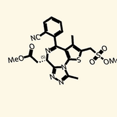 COC(=O)C[C@@H]1N=C(c2ccccc2C#N)c2c(sc(CS(=O)(=O)OC)c2C)-n2c(C)nnc21